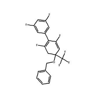 FC1=CC(OCc2ccccc2)(C(F)(F)F)CC(F)=C1c1cc(F)cc(F)c1